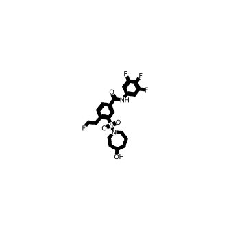 O=C(Nc1cc(F)c(F)c(F)c1)c1ccc(CCF)c(S(=O)(=O)N2CCCC(O)CC2)c1